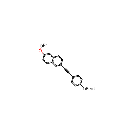 CCCCCc1ccc(C#Cc2ccc3cc(OCCC)ccc3c2)cc1